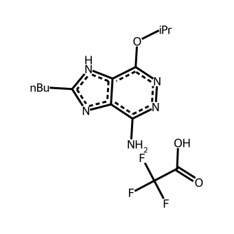 CCCCc1nc2c(N)nnc(OC(C)C)c2[nH]1.O=C(O)C(F)(F)F